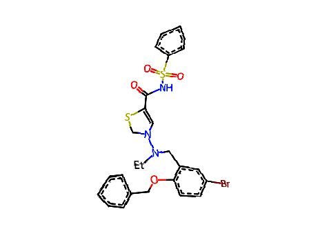 CCN(Cc1cc(Br)ccc1OCc1ccccc1)N1C=C(C(=O)NS(=O)(=O)c2ccccc2)SC1